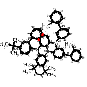 Cc1cc2c3c(c1)N(c1ccc(C(C)(C)C)cc1-c1ccccc1)c1cc4c(cc1B3c1ccc(-c3ccccc3C)cc1N2c1cccc(-c2ccccc2C)c1)C(C)(C)CCC4(C)C